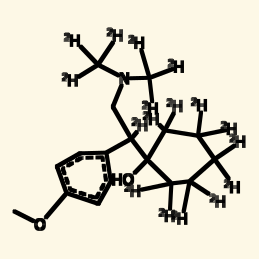 [2H]C([2H])([2H])N(CC([2H])(c1ccc(OC)cc1)C1(O)C([2H])([2H])C([2H])([2H])C([2H])([2H])C([2H])([2H])C1([2H])[2H])C([2H])([2H])[2H]